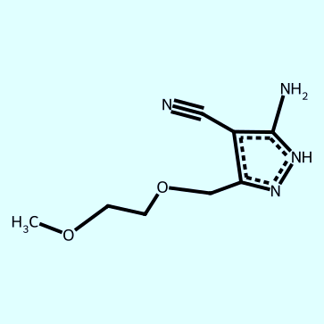 COCCOCc1n[nH]c(N)c1C#N